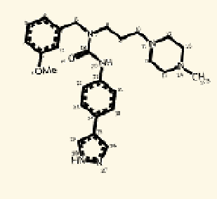 COc1cccc(CN(CCCN2CCN(C)CC2)C(=O)Nc2ccc(-c3cn[nH]c3)cc2)c1